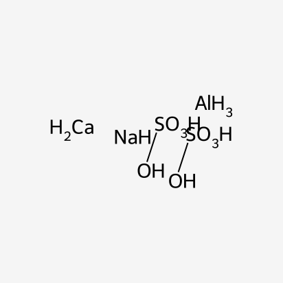 O=S(=O)(O)O.O=S(=O)(O)O.[AlH3].[CaH2].[NaH]